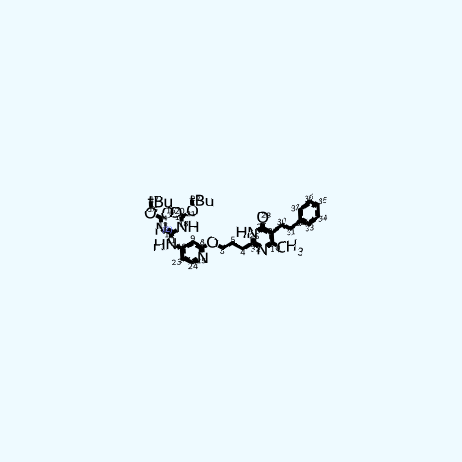 Cc1nc(CCCOc2cc(N/C(=N/C(=O)OC(C)(C)C)NC(=O)OC(C)(C)C)ccn2)[nH]c(=O)c1CCc1ccccc1